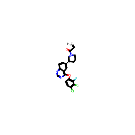 C=CC(=O)N1CCC[C@@H](c2ccc3ncnc(Oc4ccc(Cl)c(Cl)c4F)c3c2)C1